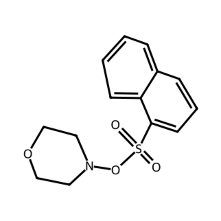 O=S(=O)(ON1CCOCC1)c1cccc2ccccc12